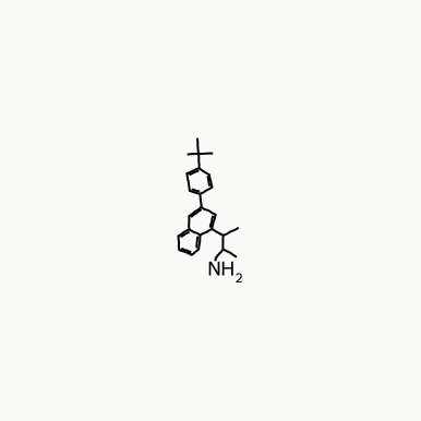 CC(CN)C(C)c1cc(-c2ccc(C(C)(C)C)cc2)cc2ccccc12